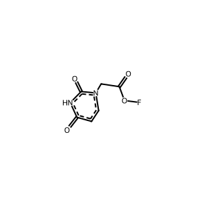 O=C(Cn1ccc(=O)[nH]c1=O)OF